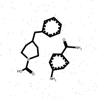 NC(=O)c1ccc(N)cc1.O=C(O)N1CCC(Cc2ccccc2)CC1